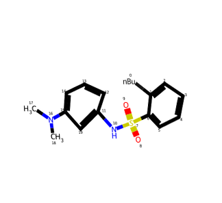 CCCCc1ccccc1S(=O)(=O)Nc1cccc(N(C)C)c1